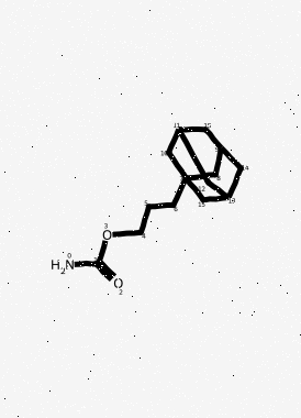 NC(=O)OCCCC12CC3CC(CC(C3)C1)C2